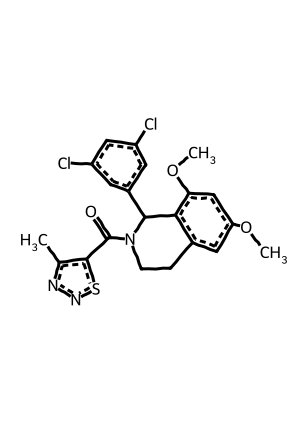 COc1cc2c(c(OC)c1)C(c1cc(Cl)cc(Cl)c1)N(C(=O)c1snnc1C)CC2